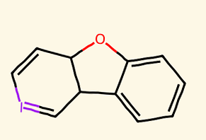 C1=CC2Oc3ccccc3C2C=I1